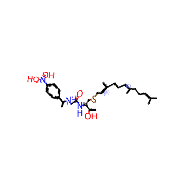 C=C(NCC(=O)N[C@@H](CSC/C=C(\C)CC/C=C(\C)CCC=C(C)C)C(=C)O)c1ccc(N(O)O)cc1